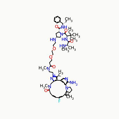 C=C1/C=C(F)\C=C/CC(=O)N(C)Cc2nn(CCN(C)C(=O)CCOCCOCCN[C@@H]3C[C@H](C(=O)N[C@@H](CC)c4ccccc4)N(C(=O)[C@H](NC(=O)[C@@H](C)NC)C(C)(C)C)C3)c(C)c2-c2cnc(N)c(c2)N2CCC[C@H]12